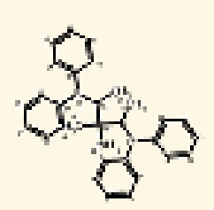 CC(P(c1ccccc1)c1ccccc1)C(C)(N)C(C)P(c1ccccc1)c1ccccc1